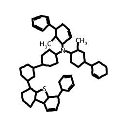 CC1CC(C2C=CCCC2)CCC1N(C1CCC(C2CCCC(C3CCCC4C5C=CCC(C6C=CC=CC6)C5SC34)C2)CC1)C1C=CCC(c2ccccc2)C1C